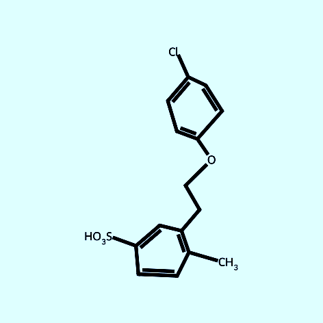 Cc1ccc(S(=O)(=O)O)cc1CCOc1ccc(Cl)cc1